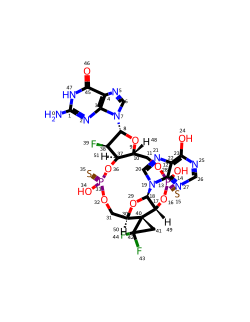 Nc1nc2c(ncn2[C@@H]2O[C@@H]3COP(O)(=S)O[C@H]4[C@H](n5cnc6c(O)ncnc65)O[C@H](COP(O)(=S)O[C@H]3[C@H]2F)[C@]42CC2(F)F)c(=O)[nH]1